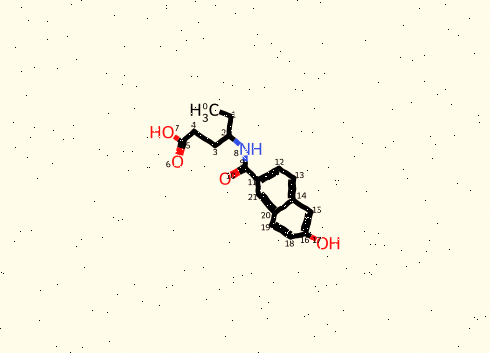 CCC(CCC(=O)O)NC(=O)c1ccc2cc(O)ccc2c1